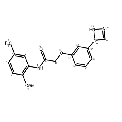 COc1ccc(C(F)(F)F)cc1NC(=O)COc1cccc(-n2cn[nH]2)c1